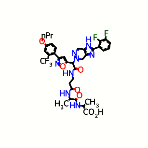 CCCOc1ccc(-c2cc(C(C(=O)NCCC(=O)NC(C)C(=O)NC(C)C(=O)O)N3Cc4nc(-c5cccc(F)c5F)[nH]c4C=N3)on2)c(C(F)(F)F)c1